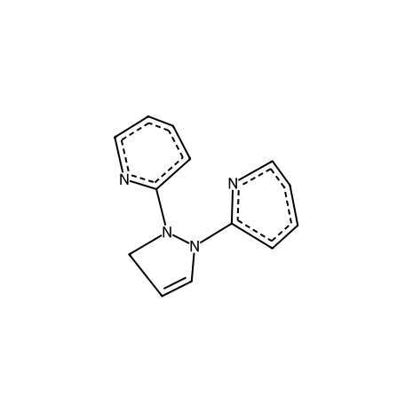 C1=CN(c2ccccn2)N(c2ccccn2)C1